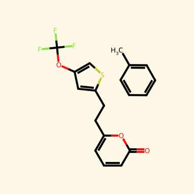 Cc1ccccc1.O=c1cccc(CCc2cc(OC(F)(F)F)cs2)o1